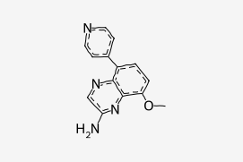 COc1ccc(-c2ccncc2)c2ncc(N)nc12